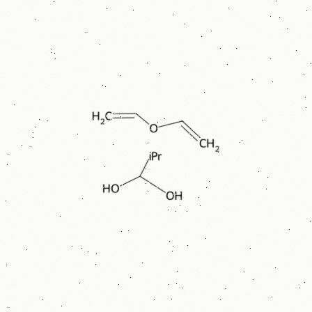 C=COC=C.CC(C)C(O)O